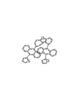 c1coc(-c2c3ccccc3c(-c3cccc4oc5ccc(-c6c7ccccc7c(-c7cccs7)c7ccccc67)cc5c34)c3ccccc23)c1